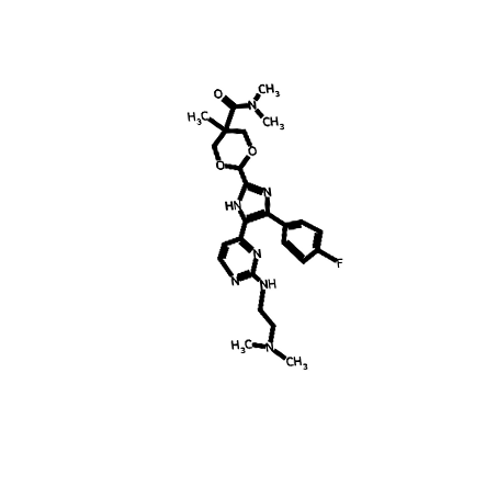 CN(C)CCNc1nccc(-c2[nH]c(C3OCC(C)(C(=O)N(C)C)CO3)nc2-c2ccc(F)cc2)n1